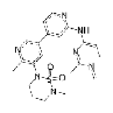 C=N/C(C)=N\C(=C/C)Nc1cc(-c2cnc(C)c(N3CCCN(C)S3(=O)=O)c2)ccn1